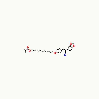 C=C(C)C(=O)OCCCCCCCCCCCOc1ccc(C=C(C#N)c2ccc3c(c2)OCO3)cc1